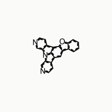 c1ccc2c(c1)oc1c2cc2c3ccncc3n3c4cnccc4c1c23